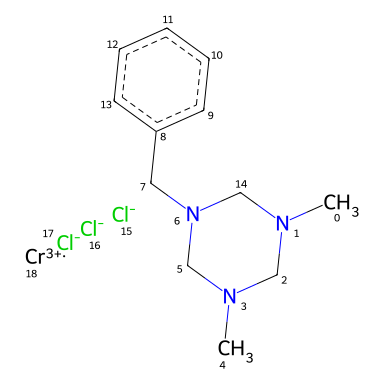 CN1CN(C)CN(Cc2ccccc2)C1.[Cl-].[Cl-].[Cl-].[Cr+3]